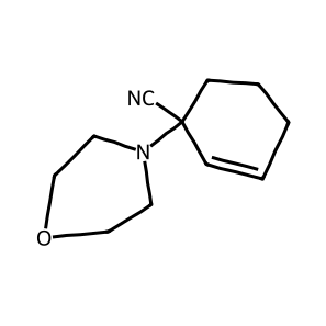 N#CC1(N2CCOCC2)C=CCCC1